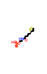 O=C(CCCC[C@@H]1CCSS1)NCCO[PH](=O)O